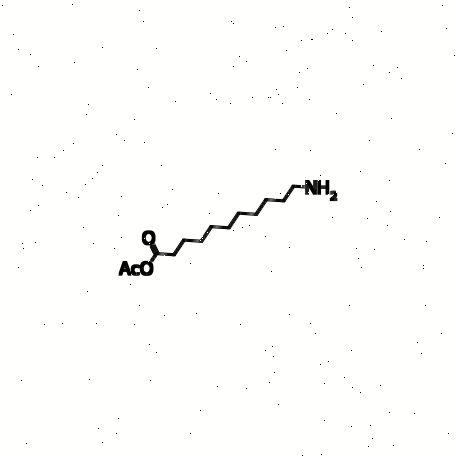 CC(=O)OC(=O)CCCCCCCCCCN